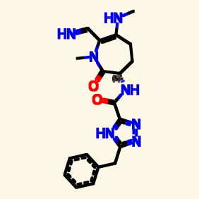 CNC1=C(C=N)N(C)C(=O)[C@@H](NC(=O)c2nnc(Cc3ccccc3)[nH]2)CC1